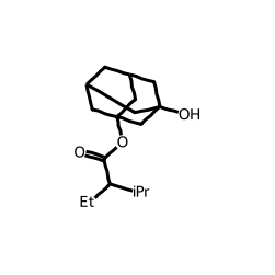 CCC(C(=O)OC12CC3CC(CC(O)(C3)C1)C2)C(C)C